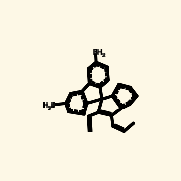 Bc1ccc2c(c1)-c1cc(B)ccc1C21C(C=C)=C(/C=C\C)c2ccccc21